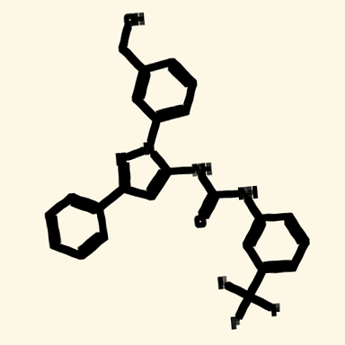 O=C(Nc1cccc(C(F)(F)F)c1)Nc1cc(-c2ccccc2)nn1-c1cccc(CO)c1